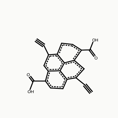 C#Cc1cc2c(C(=O)O)ccc3c(C#C)cc4c(C(=O)O)ccc1c4c32